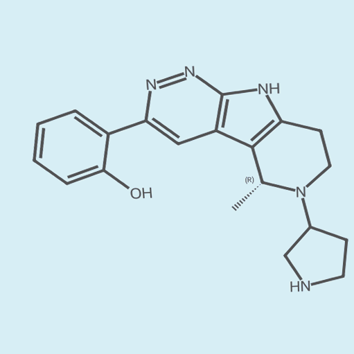 C[C@@H]1c2c([nH]c3nnc(-c4ccccc4O)cc23)CCN1C1CCNC1